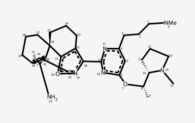 CNCCCc1cc(O[C@@H](C)[C@@H]2CCCN2C)nc(-c2noc3c2CCC[C@@]32CCCc3sc(N)c(C#N)c32)n1